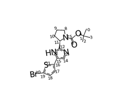 CC(C)(C)OC(=O)N1CCC[C@@H]1c1ncc(-c2ccc(Br)s2)[nH]1